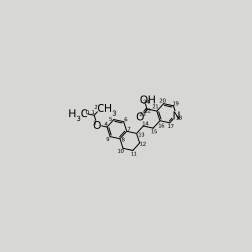 CC(C)Oc1ccc2c(c1)CCCC2CCc1cnccc1C(=O)O